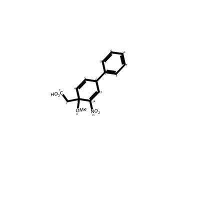 COC1(CC(=O)O)C=CC(c2ccccc2)C=C1[N+](=O)[O-]